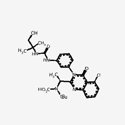 C[C@@H](c1nc2cccc(Cl)c2c(=O)n1-c1cccc(NC(=O)NC(C)(C)CO)c1)N(C(=O)O)C(C)(C)C